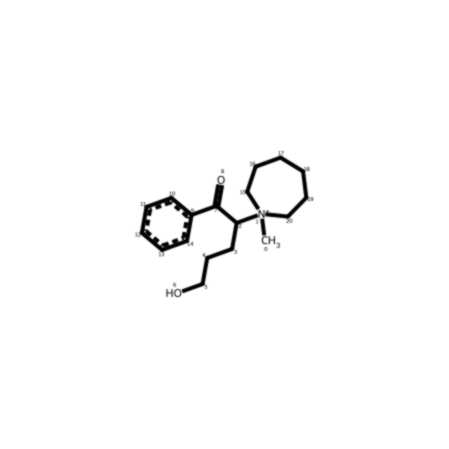 C[N+]1(C(CCCO)C(=O)c2ccccc2)CCCCCC1